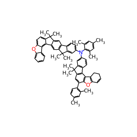 Cc1ccc(-c2cc3c(c4c5c(oc24)C=CCC5)-c2ccc(N(c4ccc5c(c4)C(C)(C)c4cc6c(cc4-5)C(C)(C)c4ccc5oc7ccccc7c5c4-6)c4c(C)cc(C)cc4C)cc2C3(C)C)c(C)c1